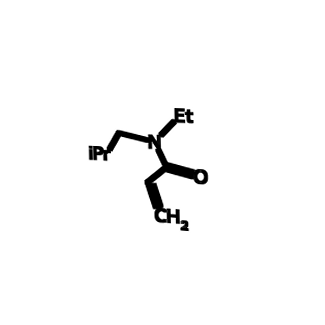 C=CC(=O)N(CC)CC(C)C